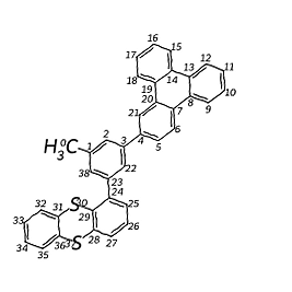 Cc1cc(-c2ccc3c4ccccc4c4ccccc4c3c2)cc(-c2cccc3c2Sc2ccccc2S3)c1